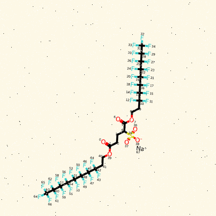 O=C(CCC(C(=O)OCCC(F)(F)C(F)(F)C(F)(F)C(F)(F)C(F)(F)C(F)(F)C(F)(F)C(F)(F)F)S(=O)(=O)[O-])OCCC(F)(F)C(F)(F)C(F)(F)C(F)(F)C(F)(F)C(F)(F)C(F)(F)C(F)(F)F.[Na+]